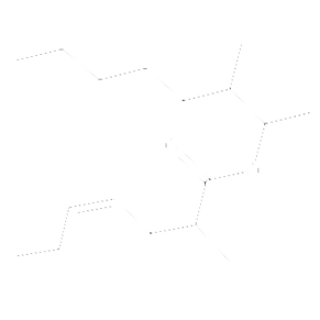 CC/C=C\CC(C)C(=O)OC(C)C(C)CCCCC